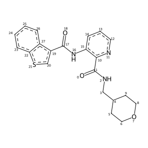 O=C(NCC1CCOCC1)c1ncccc1NC(=O)c1csc2ccccc12